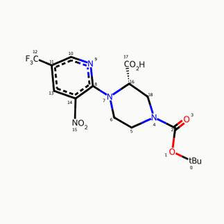 CC(C)(C)OC(=O)N1CCN(c2ncc(C(F)(F)F)cc2[N+](=O)[O-])[C@H](C(=O)O)C1